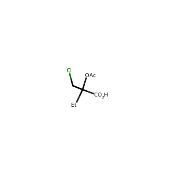 CCC(CCl)(OC(C)=O)C(=O)O